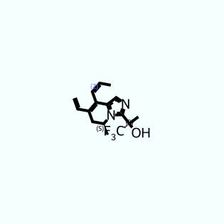 C=CC1=C(/C=C\C)c2cnc([C@@](C)(O)C(F)(F)F)n2[C@@H](C)C1